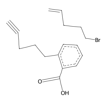 C#CCCCc1ccccc1C(=O)O.C=CCCCBr